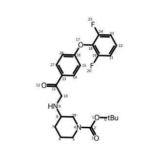 CC(C)(C)OC(=O)N1CCCC(NCC(=O)c2ccc(Oc3c(F)cccc3F)cc2)C1